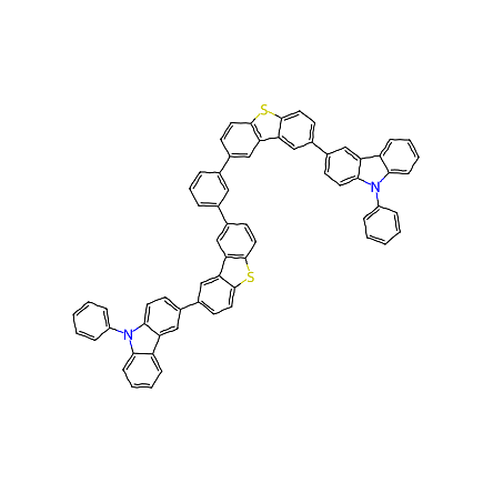 c1ccc(-n2c3ccccc3c3cc(-c4ccc5sc6ccc(-c7cccc(-c8ccc9sc%10ccc(-c%11ccc%12c(c%11)c%11ccccc%11n%12-c%11ccccc%11)cc%10c9c8)c7)cc6c5c4)ccc32)cc1